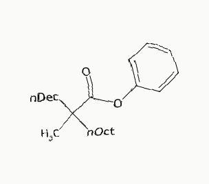 CCCCCCCCCCC(C)(CCCCCCCC)C(=O)Oc1ccccc1